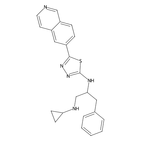 c1ccc(CC(CNC2CC2)Nc2nnc(-c3ccc4cnccc4c3)s2)cc1